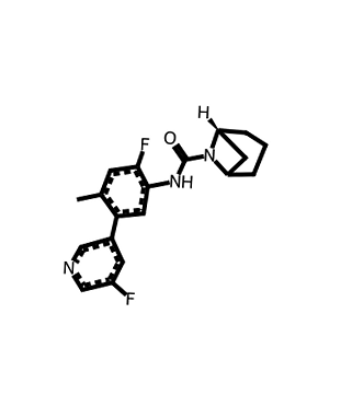 Cc1cc(F)c(NC(=O)N2C3CCC[C@@H]2C3)cc1-c1cncc(F)c1